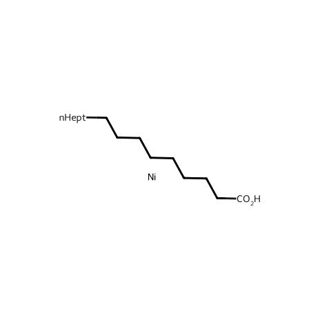 CCCCCCCCCCCCCCCC(=O)O.[Ni]